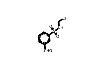 O=Cc1cccc(S(=O)(=O)NCC(F)(F)F)c1